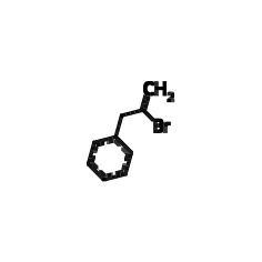 C=C(Br)Cc1ccccc1